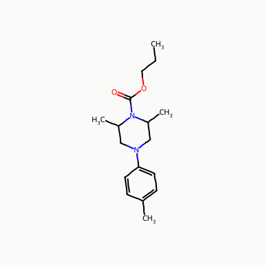 CCCOC(=O)N1C(C)CN(c2ccc(C)cc2)CC1C